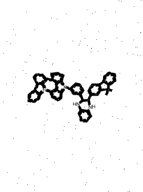 CC1(C)c2ccccc2-c2ccc(C3Nc4ccccc4NC3c3cccc(-n4c5cccc6c7cccc8c9ccccc9n(c9cccc4c9c65)c78)c3)cc21